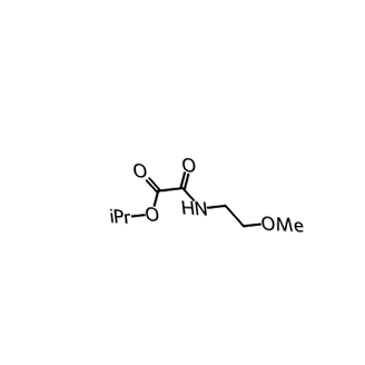 COCCNC(=O)C(=O)OC(C)C